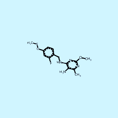 COc1nc(C)c(N)c(NCc2ccc(OSC)cc2F)n1